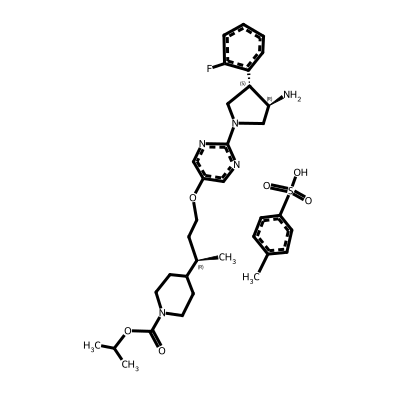 CC(C)OC(=O)N1CCC([C@H](C)CCOc2cnc(N3C[C@H](c4ccccc4F)[C@@H](N)C3)nc2)CC1.Cc1ccc(S(=O)(=O)O)cc1